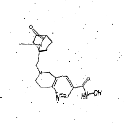 CN1C(=O)C2CCC1(CN1CCc3ncc(C(=O)NO)cc3C1)CC2